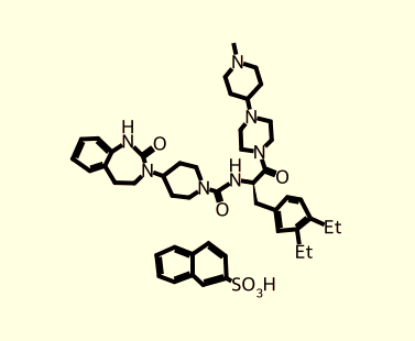 CCc1ccc(C[C@@H](NC(=O)N2CCC(N3CCc4ccccc4NC3=O)CC2)C(=O)N2CCN(C3CCN(C)CC3)CC2)cc1CC.O=S(=O)(O)c1ccc2ccccc2c1